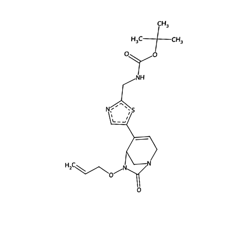 C=CCON1C(=O)N2CC=C(c3cnc(CNC(=O)OC(C)(C)C)s3)C1C2